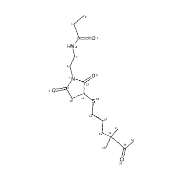 CCC(=O)NCCN1C(=O)CC(SCCCC(C)(C)C(C)=O)C1=O